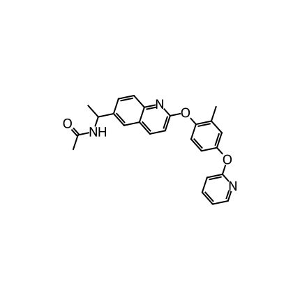 CC(=O)NC(C)c1ccc2nc(Oc3ccc(Oc4ccccn4)cc3C)ccc2c1